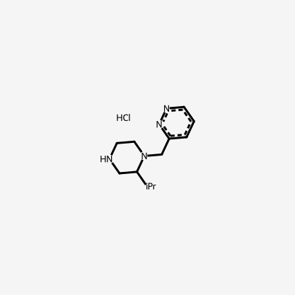 CC(C)C1CNCCN1Cc1cccnn1.Cl